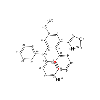 CCSc1cc(-c2cocn2)c(-c2ccccc2)c(P(c2ccccc2)c2ccccc2)c1.I